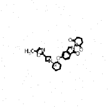 Cc1cnc(C2CN([C@H]3CCCC[C@H]3Oc3ccc4c(c3)CN(N3C(=O)CCCC3=O)C4=O)C2)o1